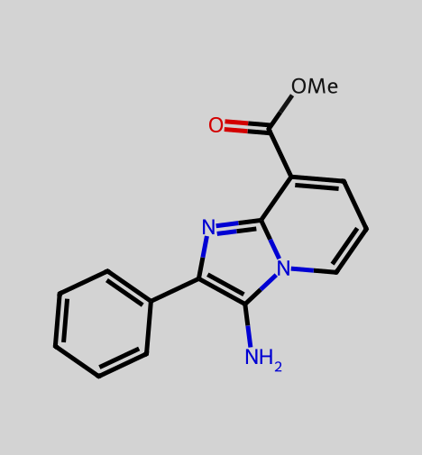 COC(=O)c1cccn2c(N)c(-c3ccccc3)nc12